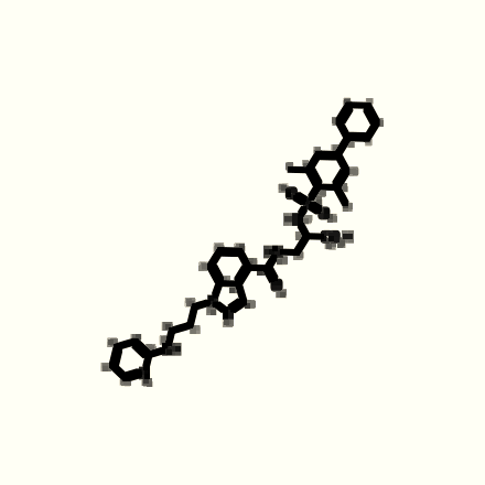 Cc1cc(-c2ccccc2)cc(C)c1S(=O)(=O)NC(CNC(=O)c1cccc2c1cnn2CCCNc1ccccn1)C(=O)O